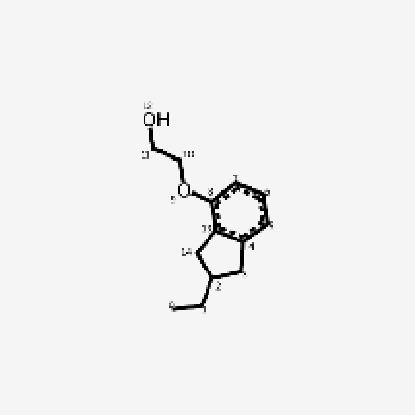 CCC1Cc2cccc(OCCO)c2C1